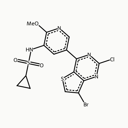 COc1ncc(-c2nc(Cl)nc3c(Br)csc23)cc1NS(=O)(=O)C1CC1